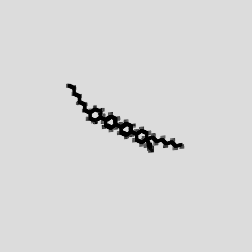 CCCCCCCC1CSC(c2ccc(-c3ccc(C4CCC(C#N)(CCCCCCC)CC4)cc3)cc2)SC1